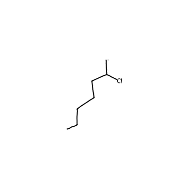 [CH2]C(Cl)CCCCC